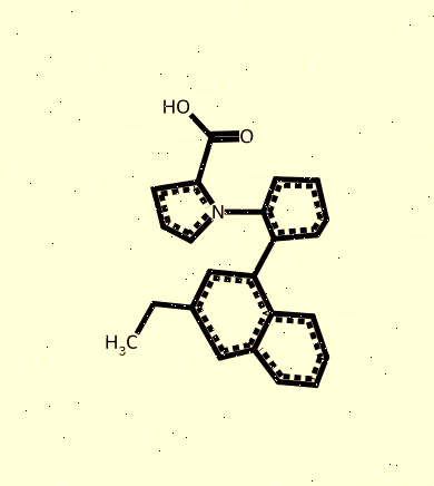 CCc1cc(-c2ccccc2-n2cccc2C(=O)O)c2ccccc2c1